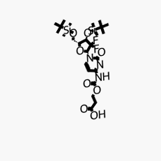 CC(C)(C)[Si](C)(C)OC[C@H]1O[C@@H](n2ccc(NC(=O)OCCC(=O)O)nc2=O)C(F)(F)[C@@H]1O[Si](C)(C)C(C)(C)C